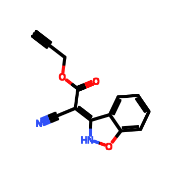 C#CCOC(=O)C(C#N)=C1NOc2ccccc21